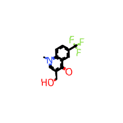 Cn1cc(CO)c(=O)c2cc(C(F)(F)F)ccc21